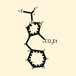 CCOC(=O)c1nn(C(F)F)cc1Cc1ccccc1